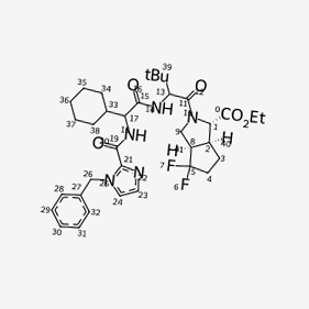 CCOC(=O)[C@@H]1[C@H]2CCC(F)(F)[C@H]2CN1C(=O)C(NC(=O)C(NC(=O)c1nccn1Cc1ccccc1)C1CCCCC1)C(C)(C)C